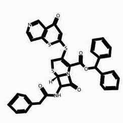 O=C(Cc1ccccc1)NC1C(=O)N2C(C(=O)OC(c3ccccc3)c3ccccc3)=C(Sc3cc(=O)c4cnccc4s3)CS[C@@H]12